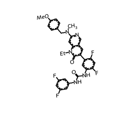 CCn1c(=O)c(-c2cc(NC(=O)Nc3cc(F)cc(F)c3)c(F)cc2F)cc2cnc(N(C)Cc3ccc(OC)cc3)cc21